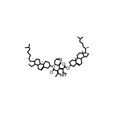 CC1=C(C(=O)OC2CC[C@@]3(C)C(=CCC4C3CC[C@@]3(C)C4CC[C@@H]3[C@H](C)CCCC(C)C)C2)C(C2=CN=CCC2)=C(C(=O)OC2CC[C@@]3(C)C(=CCC4C3CC[C@@]3(C)C4CC[C@@H]3[C@H](C)CCCC(C)C)C2)C(C)N1